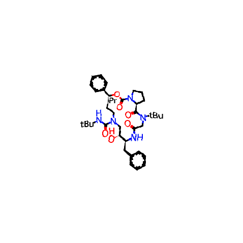 CC(C)CCN(C[C@@H](O)[C@H](Cc1ccccc1)NC(=O)CN(C(=O)[C@@H]1CCCN1C(=O)OCc1ccccc1)C(C)(C)C)C(=O)NC(C)(C)C